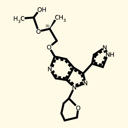 CC(O)O[C@@H](C)COc1cc2c(-c3cn[nH]c3)nn(C3CCCCO3)c2cn1